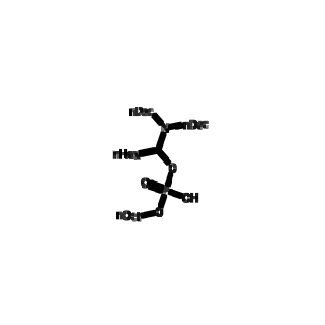 CCCCCCCCCCN(CCCCCCCCCC)C(CCCCCC)OP(=O)(O)OCCCCCCCC